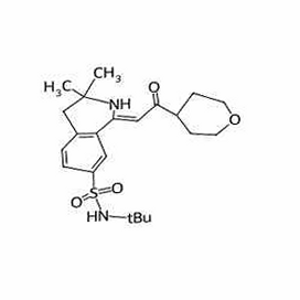 CC(C)(C)NS(=O)(=O)c1ccc2c(c1)C(=CC(=O)C1CCOCC1)NC(C)(C)C2